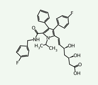 CC(C)n1c(/C=C/[C@@H](O)C[C@@H](O)CC(=O)O)c(-c2ccc(F)cc2)c(-c2ccccc2)c1C(=O)NCc1ccc(F)cc1